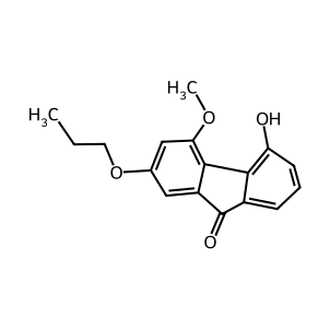 CCCOc1cc(OC)c2c(c1)C(=O)c1cccc(O)c1-2